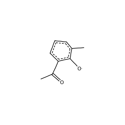 CC(=O)c1cccc(C)c1[O]